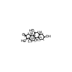 C[C@]12CC[C@@H](O)C[C@@H]1C[C@H](O)[C@@H]1[C@@H]2CC[C@]2(C)[C@@H](O)C(=O)C[C@@H]12